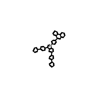 c1ccc(-c2ccc(-c3ccc4c(c3)c(-c3ccc(-c5ccccc5)cc3)cn4-c3ccc(-c4cc5ccccc5c5ccccc45)cc3)cc2)cc1